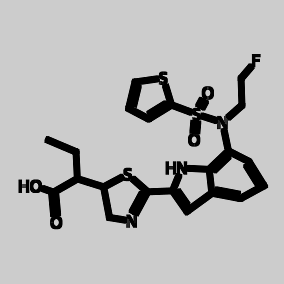 CCC(C(=O)O)C1CN=C(c2cc3cccc(N(CCF)S(=O)(=O)c4cccs4)c3[nH]2)S1